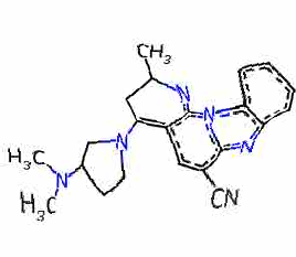 CC1CC(N2CCC(N(C)C)C2)=c2cc(C#N)c3nc4ccccc4n3c2=N1